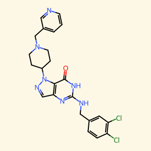 O=c1[nH]c(NCc2ccc(Cl)c(Cl)c2)nc2cnn(C3CCN(Cc4cccnc4)CC3)c12